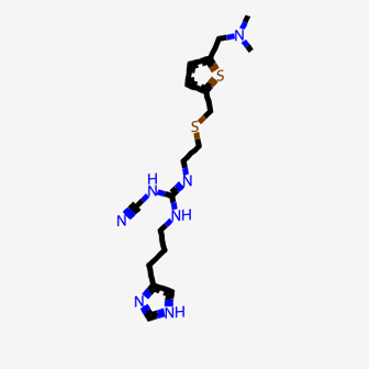 CN(C)Cc1ccc(CSCC/N=C(\NC#N)NCCCc2c[nH]cn2)s1